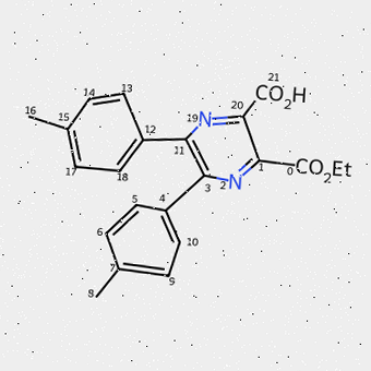 CCOC(=O)c1nc(-c2ccc(C)cc2)c(-c2ccc(C)cc2)nc1C(=O)O